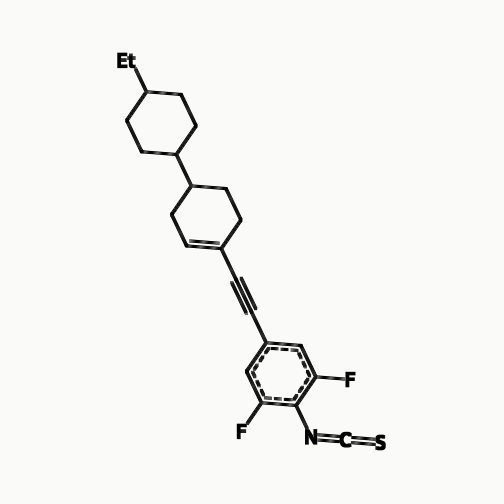 CCC1CCC(C2CC=C(C#Cc3cc(F)c(N=C=S)c(F)c3)CC2)CC1